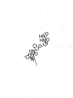 CCCCc1cc(NC(=O)Nc2ccc(OCc3ccnc(NC(=O)C4COCCN4)c3)c3ccccc23)n(-c2ccc(C)cc2)n1